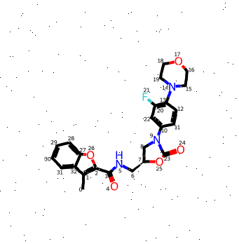 Cc1c(C(=O)NC[C@H]2CN(c3ccc(N4CCOCC4)c(F)c3)C(=O)O2)oc2ccccc12